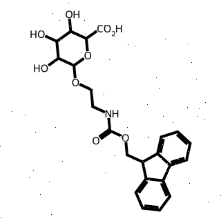 O=C(NCCOC1OC(C(=O)O)C(O)C(O)C1O)OCC1c2ccccc2-c2ccccc21